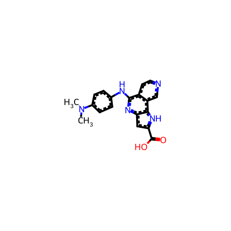 CN(C)c1ccc(Nc2nc3cc(C(=O)O)[nH]c3c3cnccc23)cc1